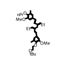 CC/C=C(\C=C\c1cc(C)c(OCCOC(C)(C)C)c(OC)c1)CC(/C=C/c1cc(C)c(OCCC)c(OC)c1)=C\CC